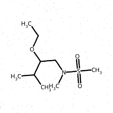 CCOC(CN(C)S(C)(=O)=O)C(C)C